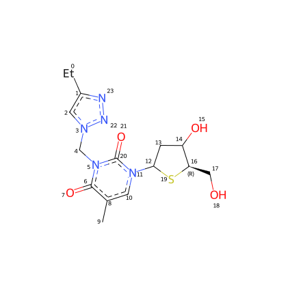 CCc1cn(Cn2c(=O)c(C)cn(C3CC(O)[C@@H](CO)S3)c2=O)nn1